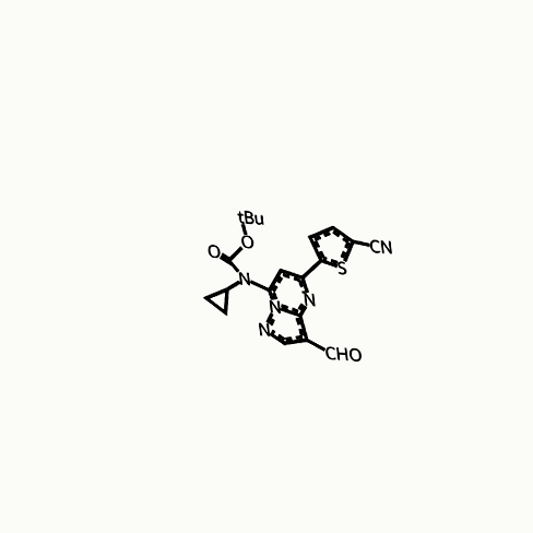 CC(C)(C)OC(=O)N(c1cc(-c2ccc(C#N)s2)nc2c(C=O)cnn12)C1CC1